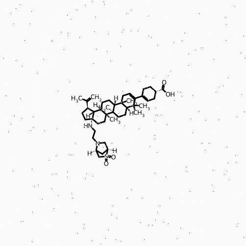 C=C(C)[C@@H]1CC[C@]2(NCCN3C[C@@H]4C[C@H]3CS4(=O)=O)CC[C@]3(C)[C@H](CC[C@@H]4C5(C)CC=C(C6=CC[C@@H](C(=O)O)CC6)C(C)(C)[C@@H]5CC[C@]43C)[C@@H]12